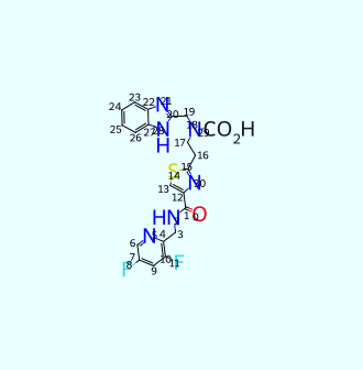 O=C(NCc1ncc(F)cc1F)c1csc(CCN(Cc2nc3ccccc3[nH]2)C(=O)O)n1